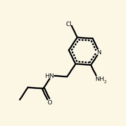 CCC(=O)NCc1cc(Cl)cnc1N